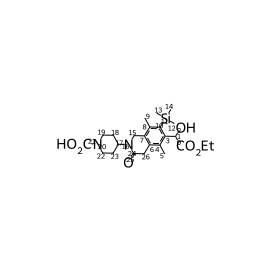 CCOC(=O)C(O)c1c(C)c2c(c(C)c1[Si](C)(C)C)CN(C1CCN(C(=O)O)CC1)C(=O)C2